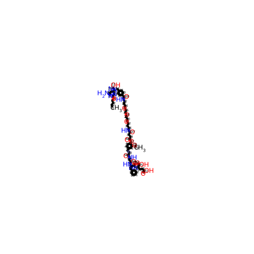 CCCCOc1nc(N)c2nc(O)n(Cc3ccc(C(=O)NCCCOCCOCCOCCCNC(=O)CCC(=O)Oc4ccc(/C=C/C(=O)NCC(=O)NC(Cc5ccccc5)C(=O)NC(CCC(=O)O)C(=O)O)cc4OC)cc3)c2n1